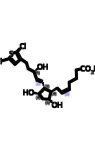 O=C(O)CCC/C=C\C[C@@H]1[C@@H](/C=C/[C@@H](O)CCc2cc(Cl)sc2Cl)[C@H](O)C[C@@H]1O